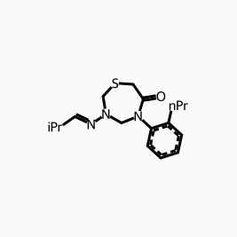 CCCc1ccccc1N1CN(/N=C/C(C)C)CSCC1=O